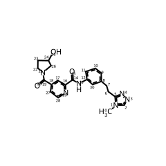 Cn1cnnc1CCc1cccc(NC(=O)c2cc(C(=O)N3CCC(O)C3)ccn2)c1